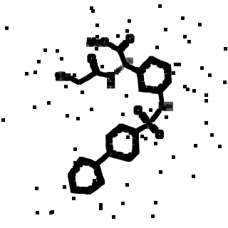 COC(=O)[C@@H](NC(=O)CC(C)(C)C)c1cccc(NS(=O)(=O)c2ccc(-c3ccccc3)cc2)c1